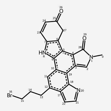 CN1C=c2c(c3c4c([nH]c3c3cc(CCCBr)c5c(c23)N=CC=5)C=CC(=O)C4)C1=O